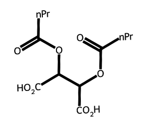 CCCC(=O)OC(C(=O)O)C(OC(=O)CCC)C(=O)O